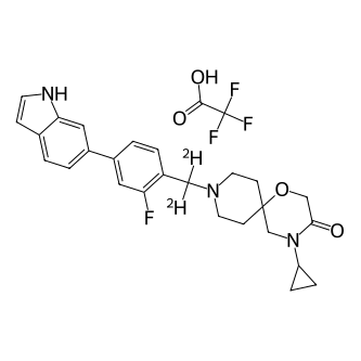 O=C(O)C(F)(F)F.[2H]C([2H])(c1ccc(-c2ccc3cc[nH]c3c2)cc1F)N1CCC2(CC1)CN(C1CC1)C(=O)CO2